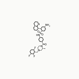 C[C@H]1CN(Cc2c(F)ccc(F)c2F)CCN1C(=O)c1ccc(NS(=O)(=O)c2ccc(N)cc2-c2cccc3cccnc23)cc1